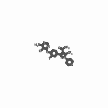 NC(=O)c1c(-c2ccc(Oc3ncnc(N)c3Cl)c(F)c2)nn(-c2ccncc2)c1C(F)(F)F